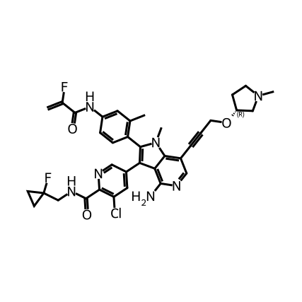 C=C(F)C(=O)Nc1ccc(-c2c(-c3cnc(C(=O)NCC4(F)CC4)c(Cl)c3)c3c(N)ncc(C#CCO[C@@H]4CCN(C)C4)c3n2C)c(C)c1